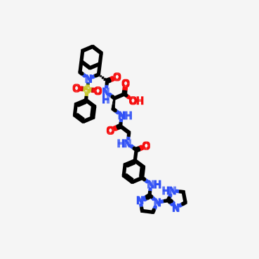 O=C(CNC(=O)c1cccc(NC2=NCCN2C2=NCCN2)c1)NC[C@@H](NC(=O)[C@H]1C2CCCC(C2)CN1S(=O)(=O)c1ccccc1)C(=O)O